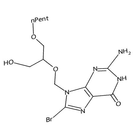 CCCCCOCC(CO)OCn1c(Br)nc2c(=O)[nH]c(N)nc21